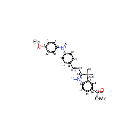 CCOc1ccc(N(C)c2ccc(/C=C/C3=[N+](C)c4ccc(C(=O)OC)cc4C3(C)C)cc2)cc1